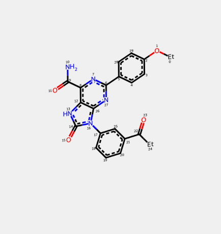 CCOc1ccc(-c2nc(C(N)=O)c3[nH]c(=O)n(-c4cccc(C(=O)CC)c4)c3n2)cc1